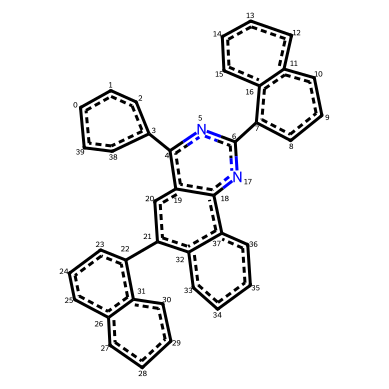 c1ccc(-c2nc(-c3cccc4ccccc34)nc3c2cc(-c2cccc4ccccc24)c2ccccc23)cc1